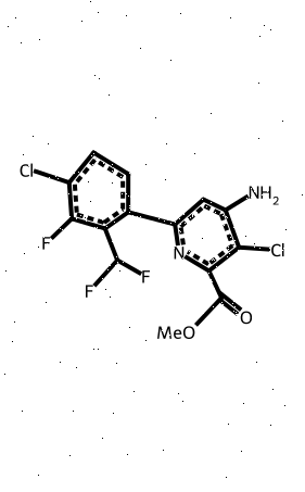 COC(=O)c1nc(-c2ccc(Cl)c(F)c2C(F)F)cc(N)c1Cl